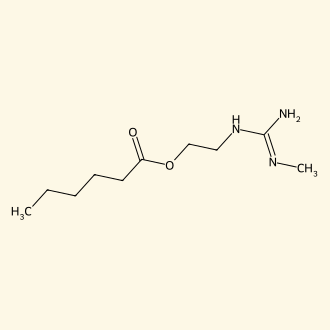 CCCCCC(=O)OCCNC(N)=NC